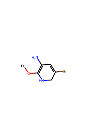 CCOC1=C(N)C=C(Br)CN1